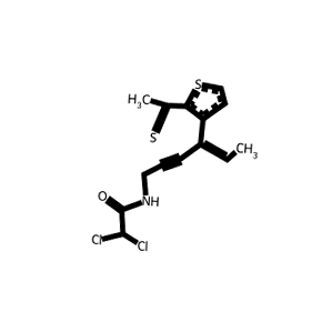 C/C=C(/C#CCNC(=O)C(Cl)Cl)c1ccsc1C(C)=S